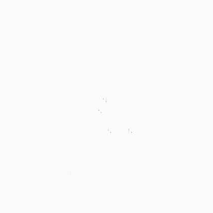 COc1nc(Cl)nc2c1c(COCc1ccccc1)nn2[C@@H](C)c1ccc(C(F)(F)F)cc1